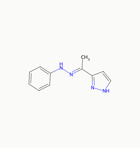 C/C(=N\Nc1ccccc1)c1cc[nH]n1